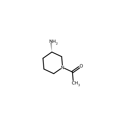 CC(=O)N1CCC[C@H](N)C1